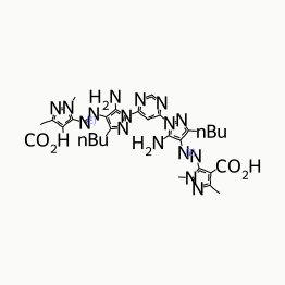 CCCCc1nn(-c2cc(-n3nc(CCCC)c(/N=N/c4c(C(=O)O)c(C)nn4C)c3N)ncn2)c(N)c1/N=N/c1c(C(=O)O)c(C)nn1C